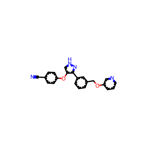 N#Cc1ccc(Oc2c[nH]nc2-c2cccc(COc3cccnc3)c2)cc1